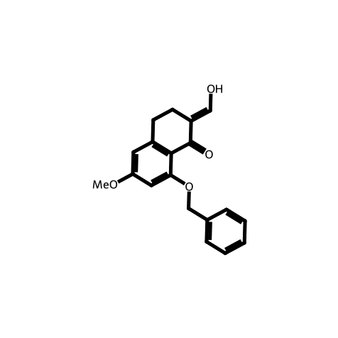 COc1cc2c(c(OCc3ccccc3)c1)C(=O)C(=CO)CC2